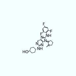 C[C@@H]1CCC[C@@H]1n1c(Nc2c(F)cc(F)cc2F)nc2cnc(N[C@H]3CC[C@H](O)CC3)nc21